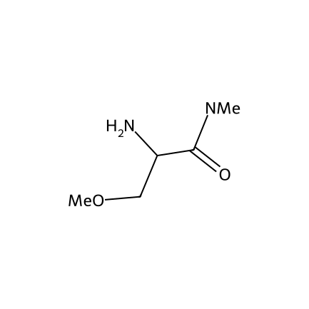 CNC(=O)C(N)COC